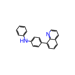 c1ccc(Nc2ccc(-c3cccc4cccnc34)cc2)cc1